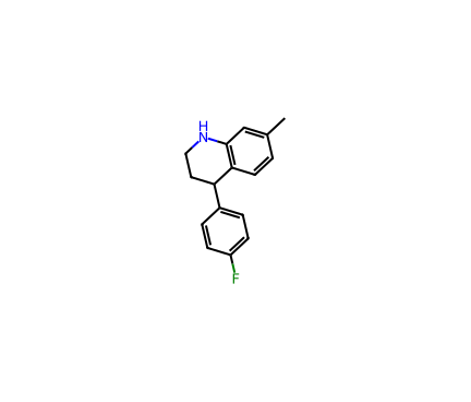 Cc1ccc2c(c1)NCCC2c1ccc(F)cc1